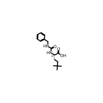 CC(C)(C)CC[C@H](NC(=O)NCc1ccccc1)C(=O)O